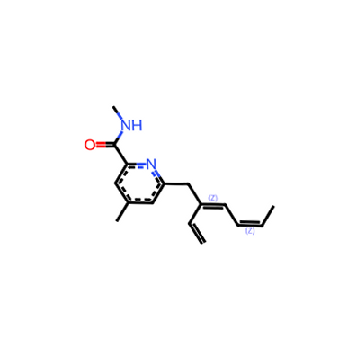 C=C/C(=C\C=C/C)Cc1cc(C)cc(C(=O)NC)n1